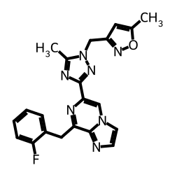 Cc1cc(Cn2nc(-c3cn4ccnc4c(Cc4ccccc4F)n3)nc2C)no1